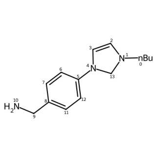 CCCCN1C=CN(c2ccc(CN)cc2)C1